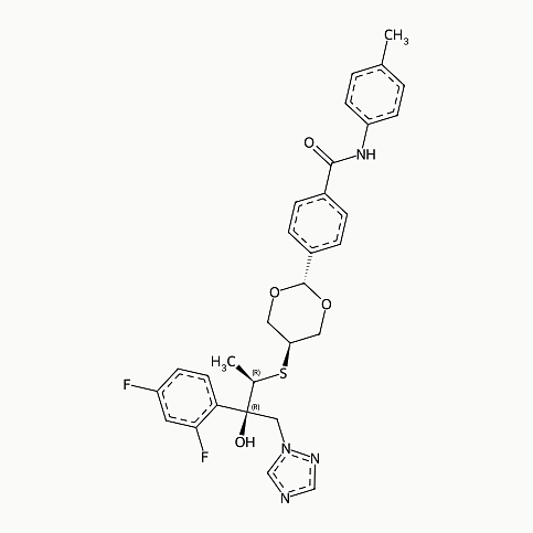 Cc1ccc(NC(=O)c2ccc([C@H]3OC[C@H](S[C@H](C)[C@](O)(Cn4cncn4)c4ccc(F)cc4F)CO3)cc2)cc1